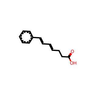 O=C(O)CCC=CC=Cc1ccccc1